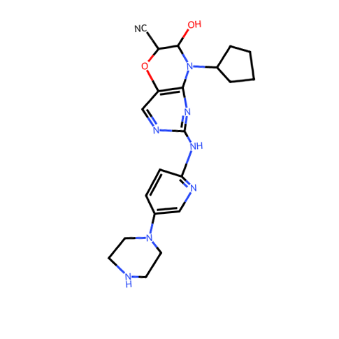 N#CC1Oc2cnc(Nc3ccc(N4CCNCC4)cn3)nc2N(C2CCCC2)C1O